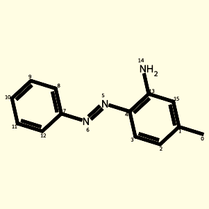 Cc1ccc(N=Nc2ccccc2)c(N)c1